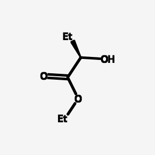 [CH2]C[C@@H](O)C(=O)OCC